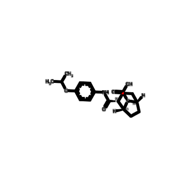 CC(C)Oc1ccc(NC(=O)[C@@H]2CC[C@@H]3CC[C@H]2N3C(=O)O)cc1